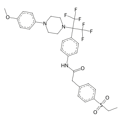 CCS(=O)(=O)c1ccc(CC(=O)Nc2ccc(C(N3CCN(c4ccc(OC)cc4)CC3)(C(F)(F)F)C(F)(F)F)cc2)cc1